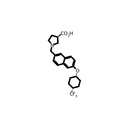 O=C(O)[C@@H]1CCN(Cc2ccc3cc(O[C@H]4CC[C@@H](C(F)(F)F)CC4)ccc3c2)C1